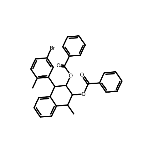 Cc1ccc(Br)cc1C1c2ccccc2C(C)C(OC(=O)c2ccccc2)C1OC(=O)c1ccccc1